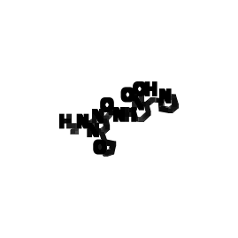 Nc1nc(C(=O)NCC2CCCC(Cc3ccccn3)N2C(=O)O)cc(-c2ccco2)n1